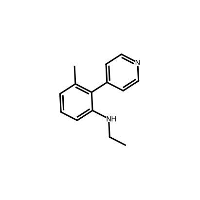 CCNc1cccc(C)c1-c1ccncc1